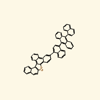 c1ccc2c(-c3c4ccccc4c(-c4ccc(-c5ccc6c(c5)c5ccccc5c5c6sc6ccc7ccccc7c65)c5ccccc45)c4ccccc34)cccc2c1